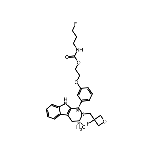 C[C@@H]1Cc2c([nH]c3ccccc23)[C@@H](c2cccc(OCCOC(=O)NCCCF)c2)N1CC1(F)COC1